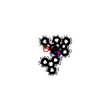 c1ccc2c(c1)-c1ccccc1C21c2ccccc2-c2cccc(N(c3ccc4c(c3)oc3ccccc34)c3ccc4c5ccccc5c5ccccc5c4c3)c21